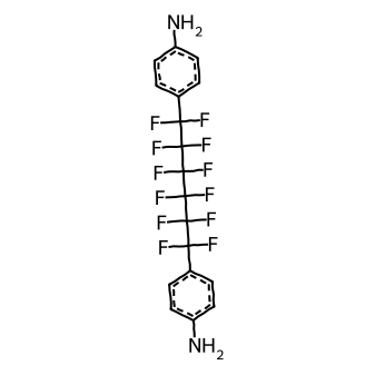 Nc1ccc(C(F)(F)C(F)(F)C(F)(F)C(F)(F)C(F)(F)C(F)(F)c2ccc(N)cc2)cc1